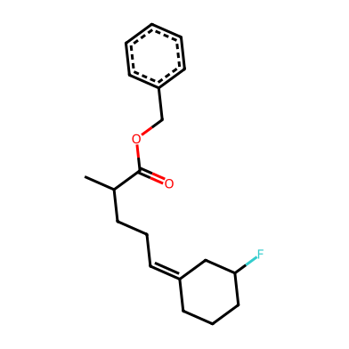 CC(CC/C=C1/CCCC(F)C1)C(=O)OCc1ccccc1